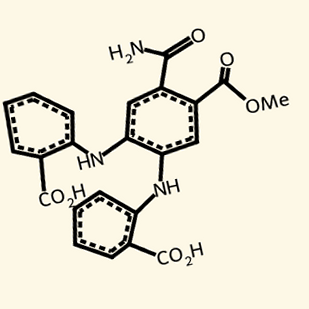 COC(=O)c1cc(Nc2ccccc2C(=O)O)c(Nc2ccccc2C(=O)O)cc1C(N)=O